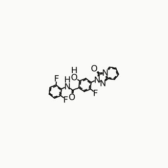 O=C(Nc1c(F)cccc1F)c1cc(F)c(-n2nc3ccccn3c2=O)cc1O